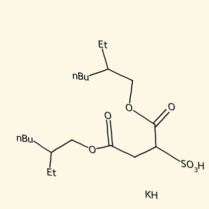 CCCCC(CC)COC(=O)CC(C(=O)OCC(CC)CCCC)S(=O)(=O)O.[KH]